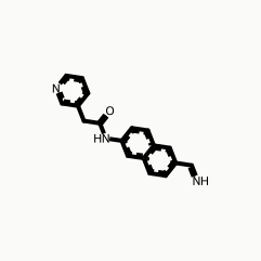 N=Cc1ccc2cc(NC(=O)Cc3cccnc3)ccc2c1